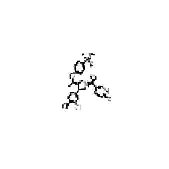 CC(Oc1ccc(C(F)(F)F)cc1)C1CN(C(=O)c2ccc(F)nc2)CC1c1ccc(Cl)c(Cl)c1